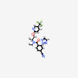 CCN(C(=O)c1ccc(C#N)cc1-n1nccn1)[C@@H](C)COc1ccc(C(F)(F)F)cn1